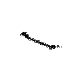 CC(C)(C)C1CCN(C(=O)NCCOCCOCCOCCOCCOCCOCCOCCn2cc(CN3C(=O)C=CC3=O)nn2)CC1